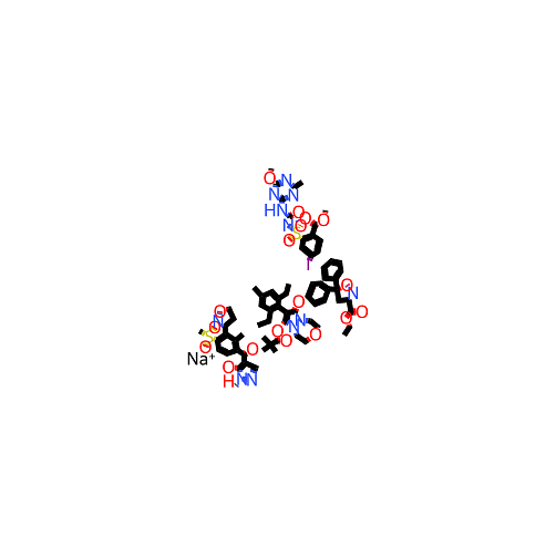 CCOC(=O)C1=NOC(c2ccccc2)(c2ccccc2)C1.CCc1cc(C)cc(CC)c1-c1c(OC(=O)C(C)(C)C)n2n(c1=O)CCOCC2.COC(=O)c1ccc(I)cc1S(=O)(=O)[N-]C(=O)Nc1nc(C)nc(OC)n1.Cc1c(C(=O)c2cnn(C)c2O)ccc(S(C)(=O)=O)c1C1=NOCC1.[Na+]